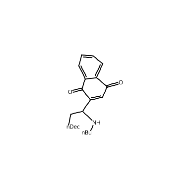 CCCCCCCCCCCC(NCCCC)C1=CC(=O)c2ccccc2C1=O